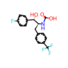 O=C(O)N[C@@H](Cc1ccc(C(F)(F)F)cc1)[C@@H](O)c1ccc(F)cc1